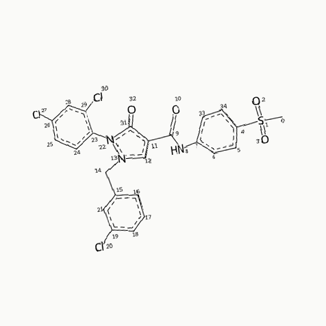 CS(=O)(=O)c1ccc(NC(=O)c2cn(Cc3cccc(Cl)c3)n(-c3ccc(Cl)cc3Cl)c2=O)cc1